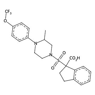 CC1CN(S(=O)(=O)C2(C(=O)O)CCc3ccccc32)CCN1c1ccc(OC(F)(F)F)cc1